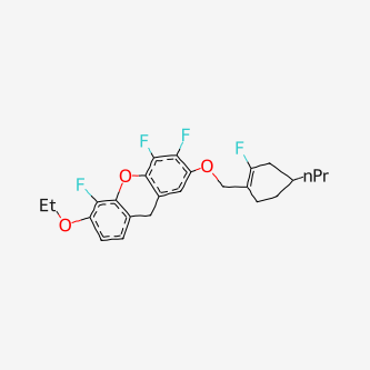 CCCC1CCC(COc2cc3c(c(F)c2F)Oc2c(ccc(OCC)c2F)C3)=C(F)C1